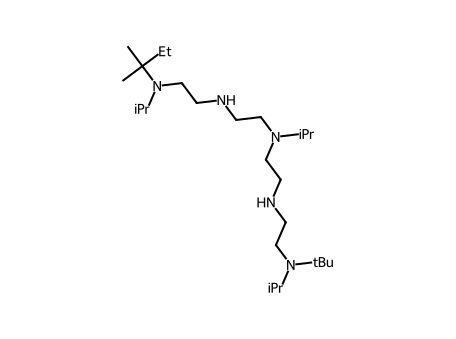 CCC(C)(C)N(CCNCCN(CCNCCN(C(C)C)C(C)(C)C)C(C)C)C(C)C